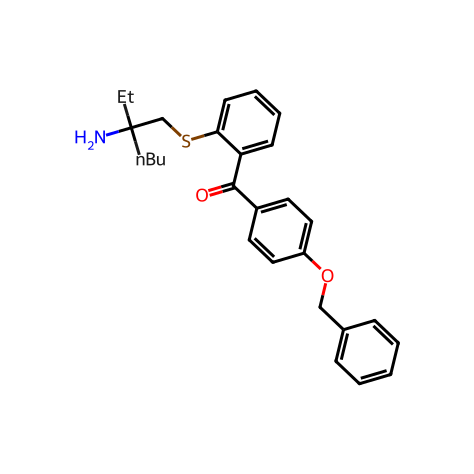 CCCCC(N)(CC)CSc1ccccc1C(=O)c1ccc(OCc2ccccc2)cc1